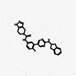 Cc1ccc(NC(=O)[C@H]2CCc3[nH]nnc3C2)cc1-c1cnc(NC2Cc3ccccc3C2)nc1